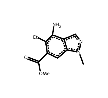 CCc1c(C(=O)OC)cc2c(cnn2C)c1N